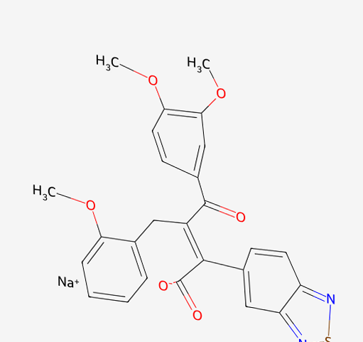 COc1ccccc1CC(C(=O)c1ccc(OC)c(OC)c1)=C(C(=O)[O-])c1ccc2nsnc2c1.[Na+]